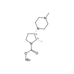 C[C@H]1[C@@H](N2CCN(C)CC2)CCN1C(=O)OC(C)(C)C